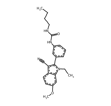 CCCCNC(=O)Nc1cccc(-c2c(C#N)c3ccc(OC)cc3n2CC)c1